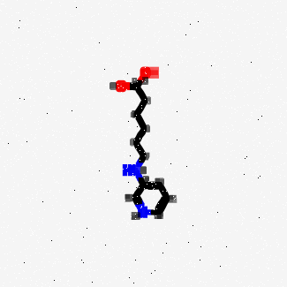 O=C(O)CCCCCNc1cccnc1